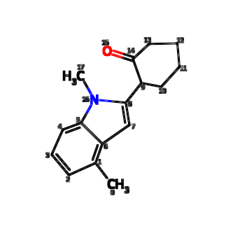 Cc1cccc2c1cc(C1CCCCC1=O)n2C